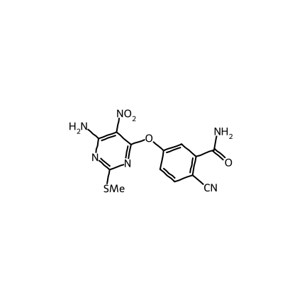 CSc1nc(N)c([N+](=O)[O-])c(Oc2ccc(C#N)c(C(N)=O)c2)n1